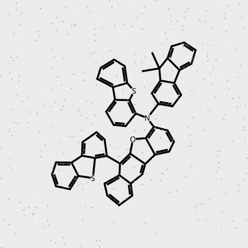 CC1(C)c2ccccc2-c2ccc(N(c3cccc4c3oc3c(-c5cccc6c5sc5ccccc56)c5ccccc5cc34)c3cccc4c3sc3ccccc34)cc21